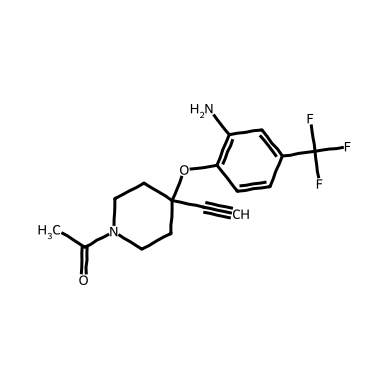 C#CC1(Oc2ccc(C(F)(F)F)cc2N)CCN(C(C)=O)CC1